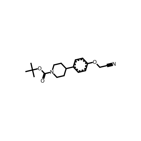 CC(C)(C)OC(=O)N1CCC(c2ccc(OCC#N)cc2)CC1